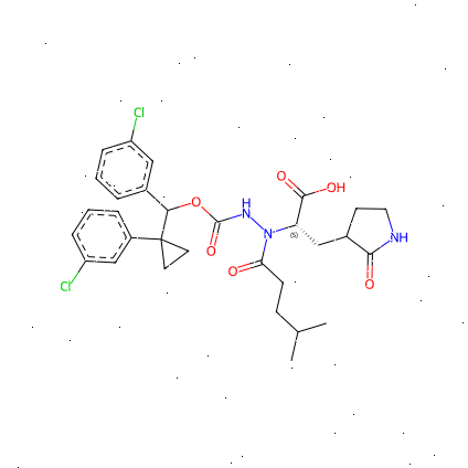 CC(C)CCC(=O)N(NC(=O)OC(c1cccc(Cl)c1)C1(c2cccc(Cl)c2)CC1)[C@@H](CC1CCNC1=O)C(=O)O